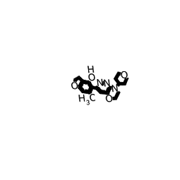 Cc1cc2c(c(O)c1-c1cc3c(nn1)N(C1CCOCC1)CCO3)CCO2